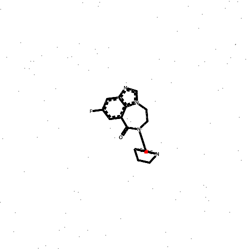 O=C1c2cc(F)cc3ncn(c23)CCN1C1CN2CCC1CC2